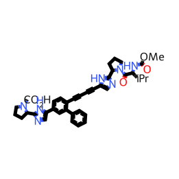 COC(=O)NC(C(=O)N1CCCC1c1ncc(C#CC#Cc2ccc(-c3cnc(C4CCCN4C(=O)O)[nH]3)cc2-c2ccccc2)[nH]1)C(C)C